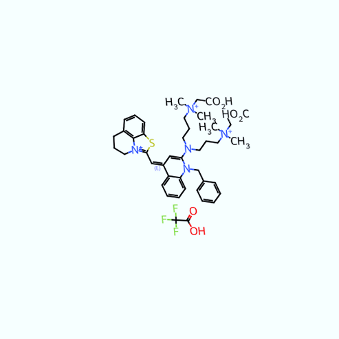 C[N+](C)(CCCN(CCC[N+](C)(C)CC(=O)O)C1=C/C(=C\c2sc3cccc4c3[n+]2CCC4)c2ccccc2N1Cc1ccccc1)CC(=O)O.O=C(O)C(F)(F)F